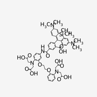 CN(C)c1ccc2c(c1)[Si](C)(C)C1=CC(=[N+](C)C)C=CC1=C2c1ccc(C(=O)Nc2ccc(N(CC(=O)O)CC(=O)O)c(OCCOc3ccccc3N(CC(=O)O)CC(=O)O)c2)cc1C(=O)O